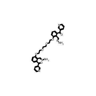 NN=Cc1c(OCCOCCOCCOc2cccc(C(=O)c3cccnc3)c2C=NN)cccc1C(=O)c1cccnc1